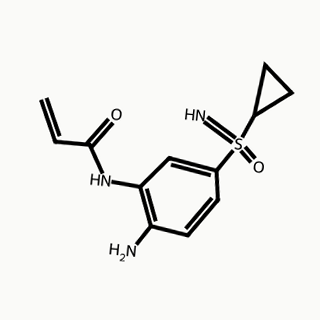 C=CC(=O)Nc1cc(S(=N)(=O)C2CC2)ccc1N